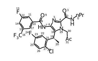 CCCNC(=O)c1nc(NC(=O)c2cc(F)cc(C(F)(F)F)c2)c([C@@H](C)c2cc(F)ccc2Cl)n1CC(C)=O